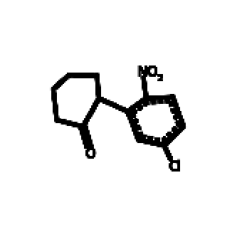 O=C1CCCCC1c1cc(Cl)ccc1[N+](=O)[O-]